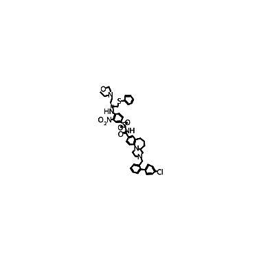 O=C(NS(=O)(=O)c1ccc(N[C@H](CCN2CCOCC2)CSc2ccccc2)c([N+](=O)[O-])c1)c1ccc2c(c1)CCCC1CN(Cc3ccccc3-c3ccc(Cl)cc3)CCN21